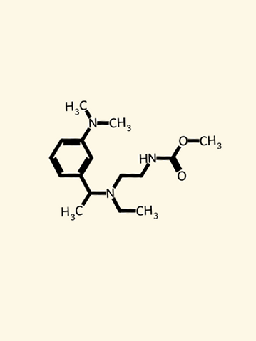 CCN(CCNC(=O)OC)C(C)c1cccc(N(C)C)c1